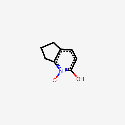 [O-][n+]1c(O)ccc2c1CCC2